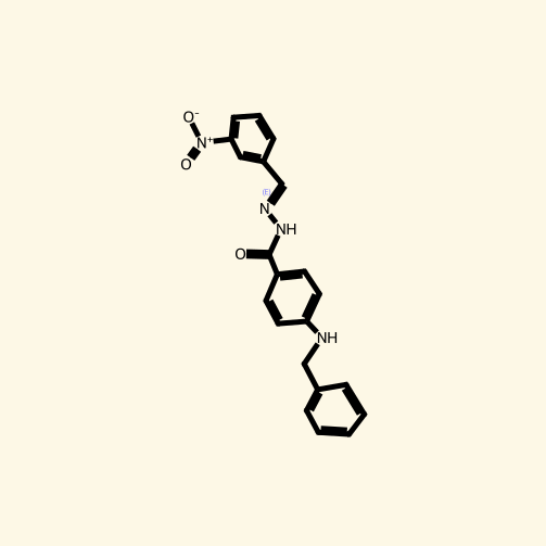 O=C(N/N=C/c1cccc([N+](=O)[O-])c1)c1ccc(NCc2ccccc2)cc1